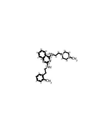 Cc1ccccc1CCNc1nc(NCCN2CCN(C)CC2)c2ccccc2n1